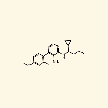 CCCC(Nc1nccc(-c2ccc(OC)cc2C)c1N)C1CC1